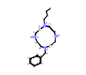 CCCCN1CCNCCN(Cc2ccccc2)CCNCC1